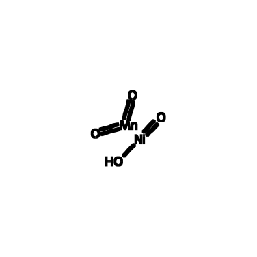 [O]=[Mn]=[O].[O]=[Ni][OH]